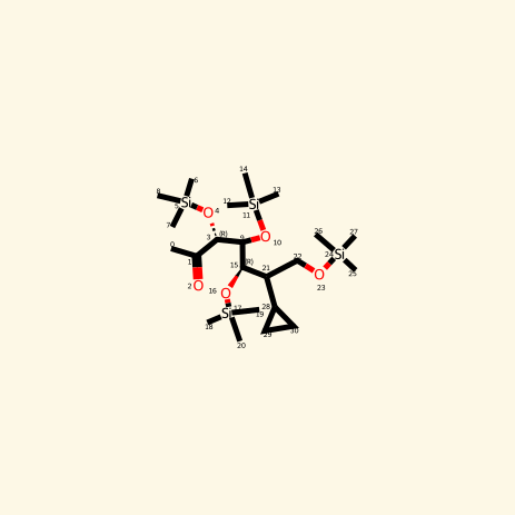 CC(=O)[C@H](O[Si](C)(C)C)C(O[Si](C)(C)C)[C@H](O[Si](C)(C)C)C(CO[Si](C)(C)C)C1CC1